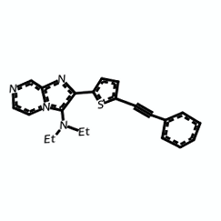 CCN(CC)c1c(-c2ccc(C#Cc3ccccc3)s2)nc2cnccn12